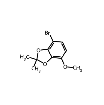 COc1ccc(Br)c2c1OC(C)(C)O2